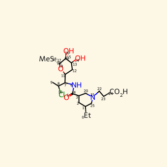 CCC1CC(C(=O)NC(C(C)Cl)C2CC(O)[C@H](O)[C@@H](SC)O2)CN(CCC(=O)O)C1